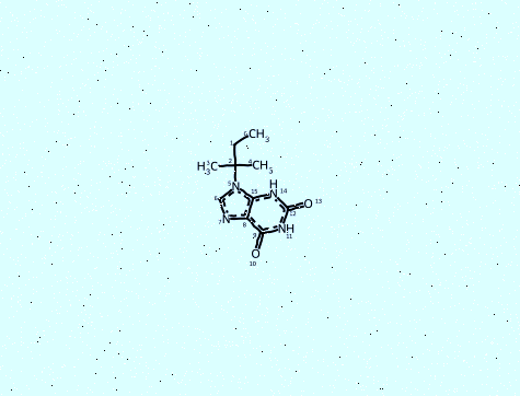 CCC(C)(C)n1cnc2c(=O)[nH]c(=O)[nH]c21